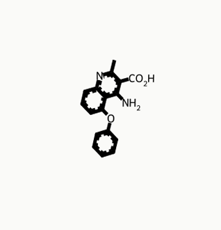 Cc1nc2cccc(Oc3ccccc3)c2c(N)c1C(=O)O